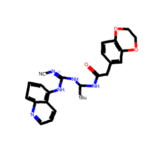 CC(C)(C)C(NC(=O)Cc1ccc2c(c1)OCCO2)N/C(=N/C#N)Nc1cccc2ncccc12